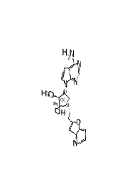 Nc1ncnc2c1ccn2[C@@H]1C[C@H](CCc2cc3ncccc3o2)[C@@H](O)[C@H]1O